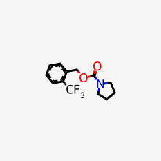 O=C(OCc1ccccc1C(F)(F)F)N1CCCC1